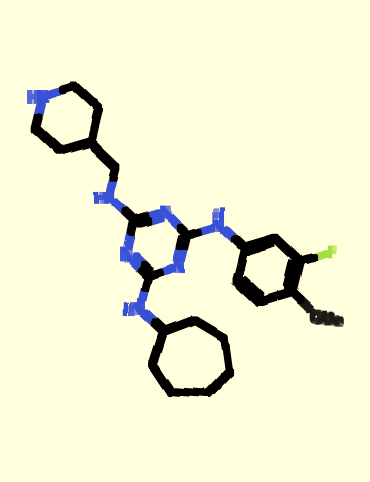 COc1ccc(Nc2nc(NCC3CCNCC3)nc(NC3CCCCCC3)n2)cc1F